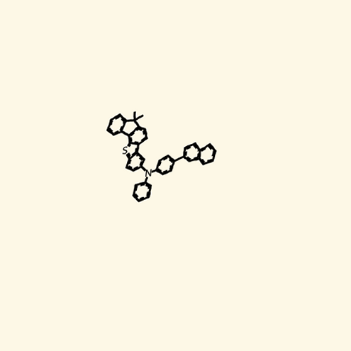 CC1(C)c2ccccc2-c2c1ccc1c2sc2ccc(N(c3ccccc3)c3ccc(-c4ccc5ccccc5c4)cc3)cc21